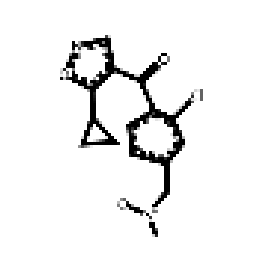 C[S+]([O-])Cc1ccc(C(=O)c2cnoc2C2CC2)c(Cl)c1